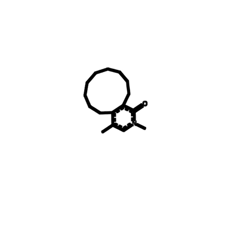 Cc1cn(C)c(=O)c2c1CCCCCCCCC2